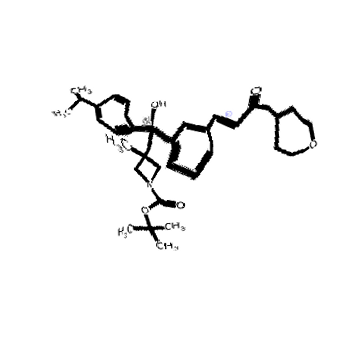 CC(C)c1ccc([C@](O)(c2cccc(/C=C/C(=O)C3CCOCC3)c2)C2(C)CN(C(=O)OC(C)(C)C)C2)cc1